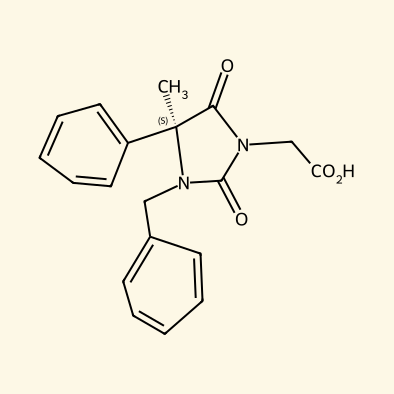 C[C@]1(c2ccccc2)C(=O)N(CC(=O)O)C(=O)N1Cc1ccccc1